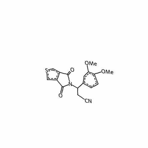 COc1ccc(C(CC#N)N2C(=O)c3cscc3C2=O)cc1OC